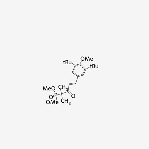 COc1c(C(C)(C)C)cc(C=CC(=O)C(C)(C)P(=O)(OC)OC)cc1C(C)(C)C